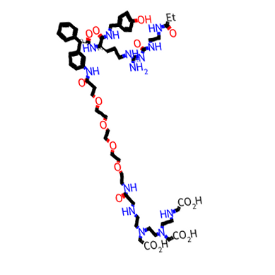 CCC(=O)NCCNC(=O)/N=C(/N)NCCC[C@@H](NC(=O)[C@@H](c1ccccc1)c1cccc(NC(=O)CCOCCOCCOCCOCCNC(=O)CNCCN(CCN(CCNCC(=O)O)CC(=O)O)CC(=O)O)c1)C(=O)NCc1ccc(O)cc1